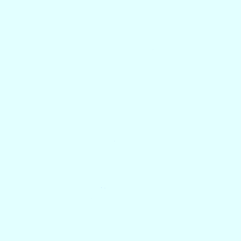 CCC(CCCCCCCCCCCCCC(=O)OCCCC(C)C)CC(=O)OCCCC(C)C